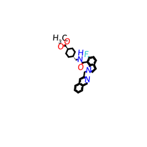 COC(=O)[C@H]1CC[C@H](CNC(=O)c2c(F)ccc3ccn(Cc4cc5ccccc5cn4)c23)CC1